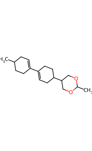 CC1CC=C(C2=CCC(C3COC(C)OC3)CC2)CC1